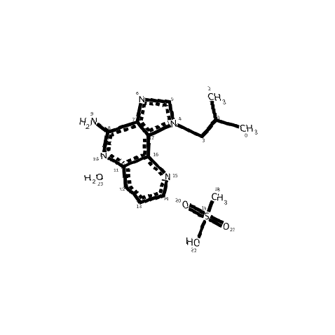 CC(C)Cn1cnc2c(N)nc3cccnc3c21.CS(=O)(=O)O.O